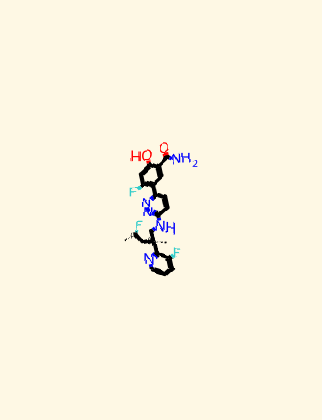 C[C@H](F)C[C@@](C)(CNc1ccc(-c2cc(C(N)=O)c(O)cc2F)nn1)c1ncccc1F